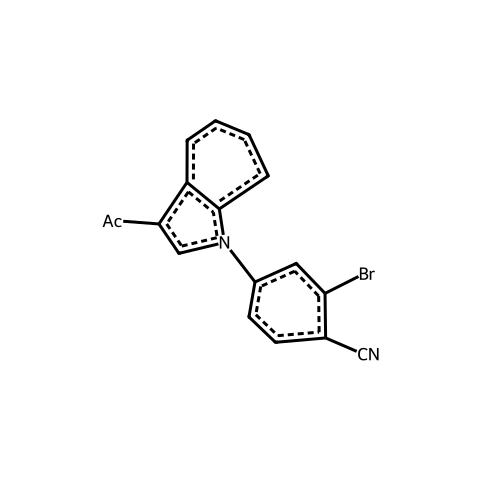 CC(=O)c1cn(-c2ccc(C#N)c(Br)c2)c2ccccc12